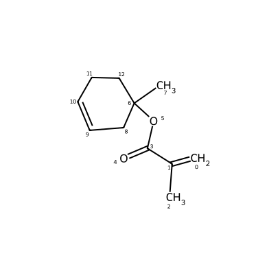 C=C(C)C(=O)OC1(C)CC=CCC1